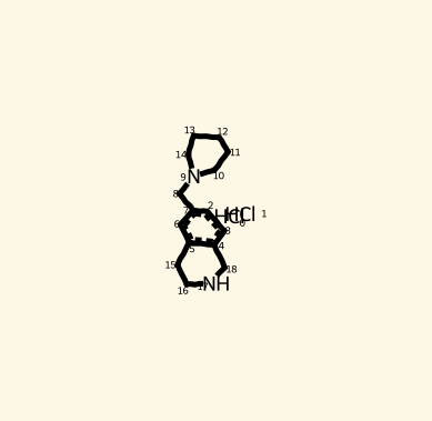 Cl.Cl.c1cc2c(cc1CN1CCCCC1)CCNC2